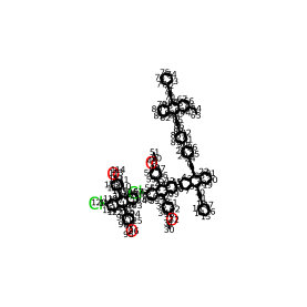 C(#Cc1c2ccccc2c(C#Cc2ccccc2)c2ccccc12)c1ccccc1.CCOc1ccc(-c2c3ccccc3c(-c3ccc(OCC)cc3)c3cc(Cl)ccc23)cc1.CCc1ccc2c(C#Cc3ccccc3)c3ccccc3c(C#Cc3ccccc3)c2c1.COc1ccc(-c2c3ccccc3c(-c3ccc(OC)cc3)c3cc(Cl)ccc23)cc1